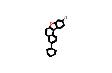 Clc1ccc2c(c1)oc1ccc3cc(-c4ccccc4)ccc3c12